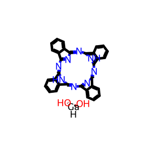 [OH][GaH][OH].c1ccc2c(c1)-c1nc-2nc2[nH]c(nc3nc(nc4[nH]c(n1)c1ccccc41)-c1ccccc1-3)c1ccccc21